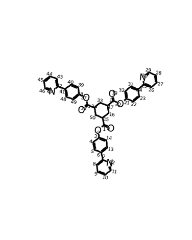 O=C(Oc1ccc(-c2ccccn2)cc1)C1CC(C(=O)Oc2ccc(-c3ccccn3)cc2)CC(C(=O)Oc2ccc(-c3ccccn3)cc2)C1